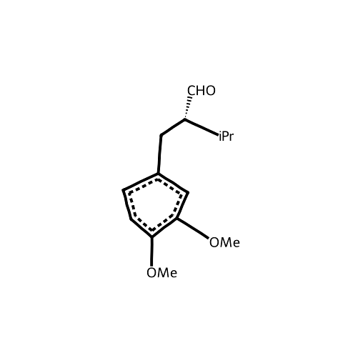 COc1ccc(C[C@H](C=O)C(C)C)cc1OC